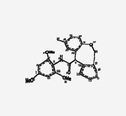 COc1cc(OC)c(NC(=O)C2c3ccccc3COc3ccc(C)cc32)c(OC)c1